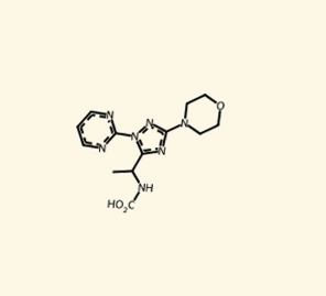 CC(NC(=O)O)c1nc(N2CCOCC2)nn1-c1ncccn1